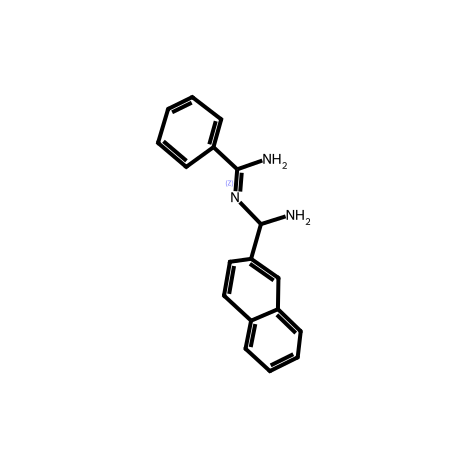 N/C(=N\C(N)c1ccc2ccccc2c1)c1ccccc1